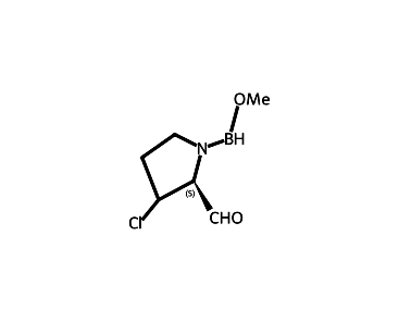 COBN1CCC(Cl)[C@@H]1C=O